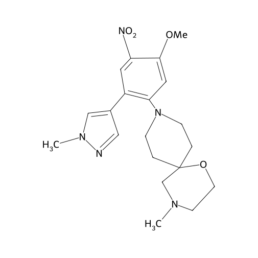 COc1cc(N2CCC3(CC2)CN(C)CCO3)c(-c2cnn(C)c2)cc1[N+](=O)[O-]